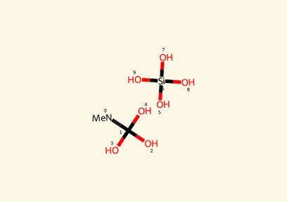 CNC(O)(O)O.O[Si](O)(O)O